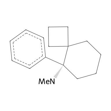 CN[C@@]1(c2ccccc2)CCCCC12CCC2